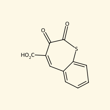 O=C(O)c1cc2ccccc2sc(=O)c1=O